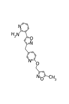 Cc1cc(COc2ccc(Cc3cc(-c4cccnc4N)on3)cn2)no1